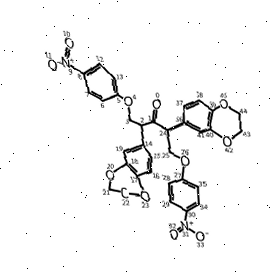 O=C(C(COc1ccc([N+](=O)[O-])cc1)c1ccc2c(c1)OCCO2)C(COc1ccc([N+](=O)[O-])cc1)c1ccc2c(c1)OCCO2